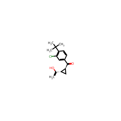 C=C(O)[C@H]1C[C@@H]1C(=O)c1ccc(C(C)(C)C)c(Cl)c1